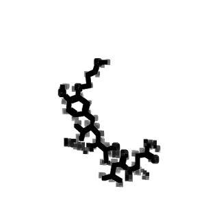 COCCCOc1cc(C[C@@H](C[C@H](N)[C@@H](O)C[C@H](C(=O)N[C@@H](C)CC(N)=O)C(C)C)C(C)C)ccc1OC.Cl